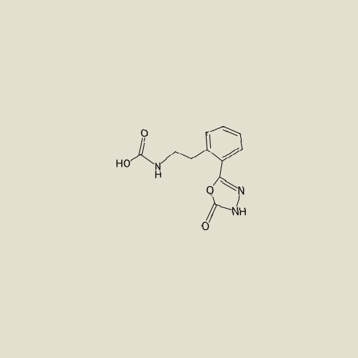 O=C(O)NCCc1ccccc1-c1n[nH]c(=O)o1